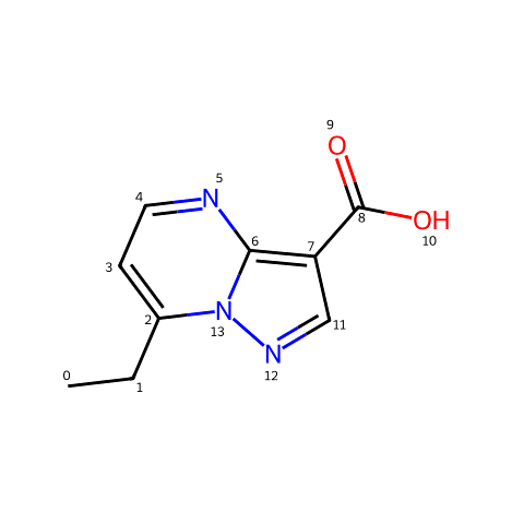 CCc1ccnc2c(C(=O)O)cnn12